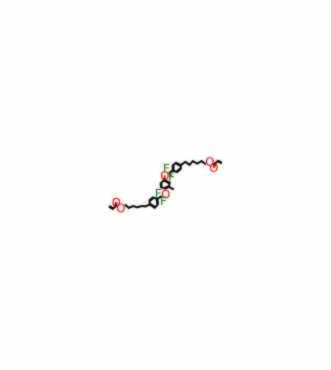 C=CC(=O)OCCCCCCc1ccc(C(F)(F)Oc2ccc(OC(F)(F)c3ccc(CCCCCCOC(=O)C=C)cc3)c(C)c2)cc1